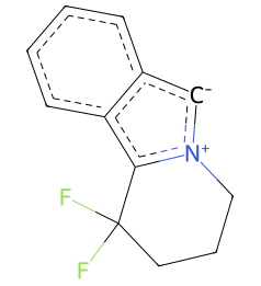 FC1(F)CCC[n+]2[cH-]c3ccccc3c21